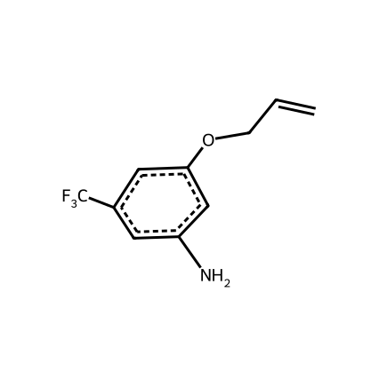 C=CCOc1cc(N)cc(C(F)(F)F)c1